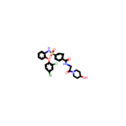 O=C(NCC(=O)N1CCC(O)CC1)c1ccc(S(=O)(=O)Nc2ccccc2Oc2ccc(Br)cc2Cl)cc1